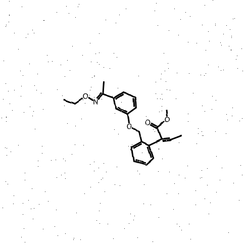 CC=C(C(=O)OC)c1ccccc1COc1cccc(C(C)=NOCC)c1